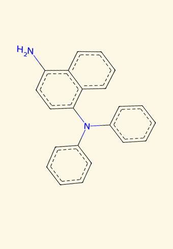 Nc1ccc(N(c2ccccc2)c2ccccc2)c2ccccc12